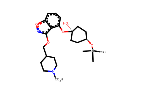 CC(C)(C)[Si](C)(C)O[C@H]1CC[C@@](O)(Oc2cccc3onc(OCC4CCN(C(=O)O)CC4)c23)CC1